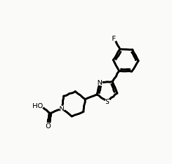 O=C(O)N1CCC(c2nc(-c3cccc(F)c3)cs2)CC1